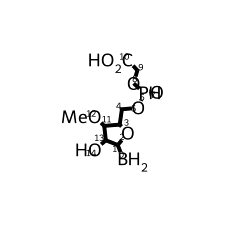 BC1OC(CO[PH](=O)OCC(=O)O)C(OC)C1O